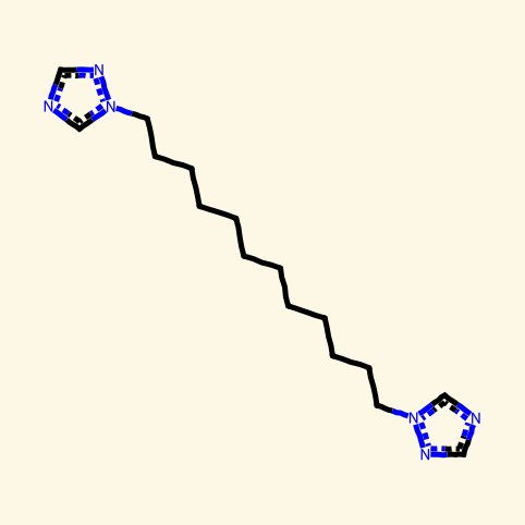 c1ncn(CCCCCCCCCCCCn2cncn2)n1